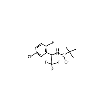 CC(C)(C)[S+]([O-])N[C@H](c1cc(Cl)ccc1F)C(F)(F)F